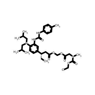 CC[C@@H](CC(=O)OCOC(=O)CN(C)C(=O)OCCl)c1ccc(N(CC(C)C)CC(C)C)c(NC(=O)Nc2ccc(C)cc2)c1